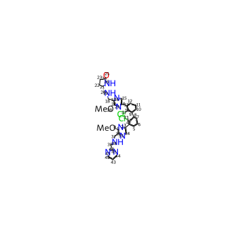 COc1nc(-c2cccc(-c3cccc(-c4cnc(CNC[C@@H]5CCC(=O)N5)c(OC)n4)c3Cl)c2Cl)cnc1CNCc1ncccn1